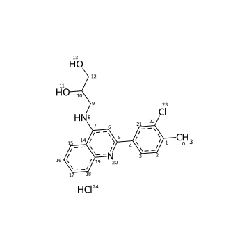 Cc1ccc(-c2cc(NCC(O)CO)c3ccccc3n2)cc1Cl.Cl